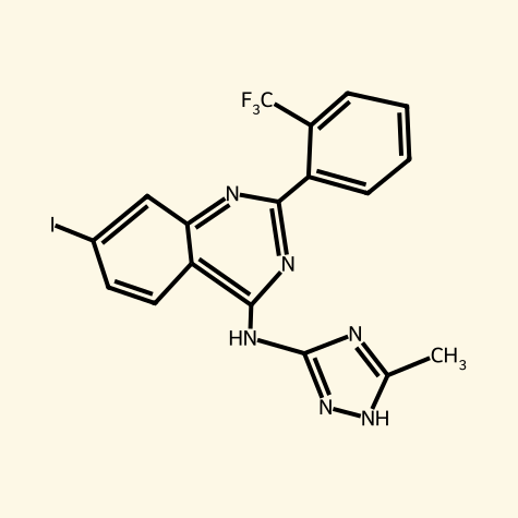 Cc1nc(Nc2nc(-c3ccccc3C(F)(F)F)nc3cc(I)ccc23)n[nH]1